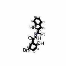 CC/C(=N\NC(=O)c1cc(Br)ccc1O)c1cc2ccccc2[nH]1